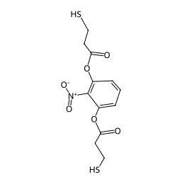 O=C(CCS)Oc1cccc(OC(=O)CCS)c1[N+](=O)[O-]